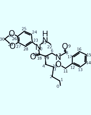 CCCCC[C@H](CN(C=O)OCc1ccccc1)C(=O)N(NC)c1ccc2c(c1)OCO2